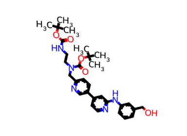 CC(C)(C)OC(=O)NCCN(Cc1ccc(-c2ccnc(Nc3cccc(CO)c3)c2)cn1)C(=O)OC(C)(C)C